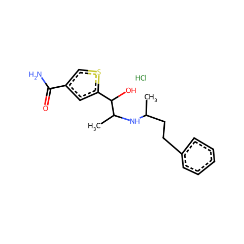 CC(CCc1ccccc1)NC(C)C(O)c1cc(C(N)=O)cs1.Cl